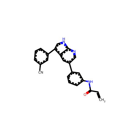 C=CC(=O)Nc1cccc(-c2cnc3[nH]cc(-c4cccc(C#N)c4)c3c2)c1